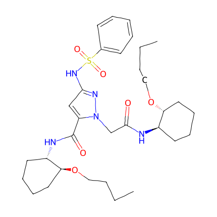 CCCCO[C@H]1CCCC[C@@H]1NC(=O)c1cc(NS(=O)(=O)c2ccccc2)nn1CC(=O)N[C@@H]1CCCC[C@H]1OCCCC